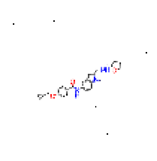 Cn1c(CNC[C@@H]2CCCO2)cc2cc(NC(=O)c3ccc(OCC4CC4)cc3)ccc21